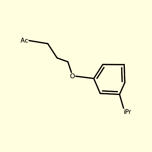 CC(=O)CCCOc1cccc(C(C)C)c1